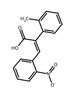 Cc1ccccc1C(=Cc1ccccc1[N+](=O)[O-])C(=O)O